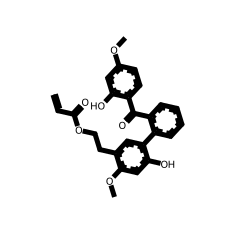 C=CC(=O)OCCc1cc(-c2ccccc2C(=O)c2ccc(OC)cc2O)c(O)cc1OC